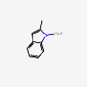 CCCCCn1c(C)cc2ccccc21